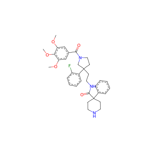 COc1cc(C(=O)N2CCC(CCNC(=O)C3(c4ccccc4)CCNCC3)(c3ccccc3F)C2)cc(OC)c1OC